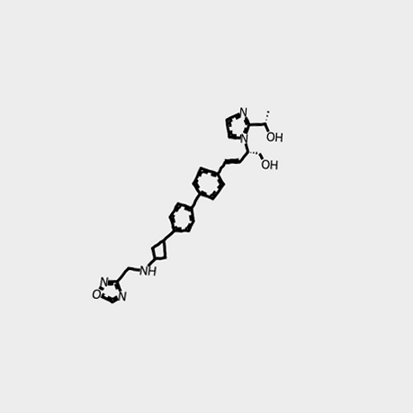 C[C@H](O)c1nccn1[C@@H](/C=C/c1ccc(-c2ccc(C3CC(NCc4ncon4)C3)cc2)cc1)CO